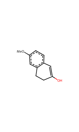 COc1ccc2c(c1)CCC(O)=[C]2